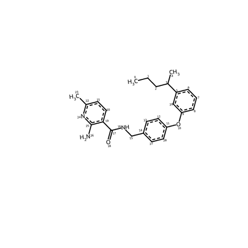 CCCC(C)c1cccc(Oc2ccc(CNC(=O)c3ccc(C)nc3N)cc2)c1